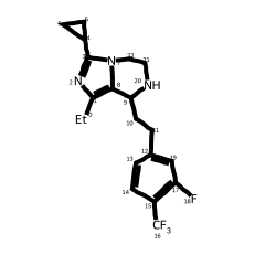 CCc1nc(C2CC2)n2c1C(CCc1ccc(C(F)(F)F)c(F)c1)NCC2